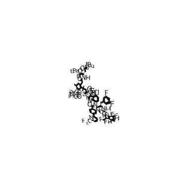 Cc1cc(CC(=O)N[C@@H](CC(=O)OC(C)(C)C)C(=O)OC(C)(C)C)c(C(C)(C)CC(=O)N(c2nn(C)c3c(-n4c([C@H](Cc5cc(F)cc(F)c5)NC(=O)Cn5nc(C(F)F)c6c5C(F)(F)[C@@H]5C[C@H]65)nc5cc(-c6cccc(C(F)(F)F)n6)ccc5c4=O)ccc(Cl)c23)S(C)(=O)=O)c(OP(=O)(OC(C)C)OC(C)C)c1